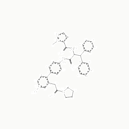 Cn1nccc1C(=O)NC(C(=O)Nc1ccc(-c2cc[n+]([O-])cc2CC(=O)N2CCCC2)cc1)C(c1ccccc1)c1ccccc1